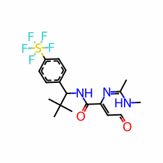 CN/C(C)=N\C(=C/C=O)C(=O)NC(c1ccc(S(F)(F)(F)(F)F)cc1)C(C)(C)C